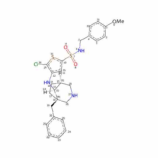 COc1ccc(CNS(=O)(=O)c2cc(N[C@H]3[C@H]4CC[C@@]3(Cc3ccccc3)CNC4)c(Cl)s2)cc1